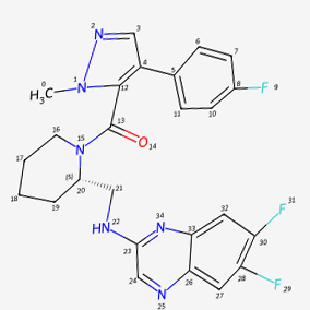 Cn1ncc(-c2ccc(F)cc2)c1C(=O)N1CCCC[C@H]1CNc1cnc2cc(F)c(F)cc2n1